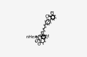 CCCCCCN(CCCCC)C(=O)N1C(=O)CCc2ccc(OCCCCN3CCN(c4cccc(Cl)c4Cl)CC3)cc21